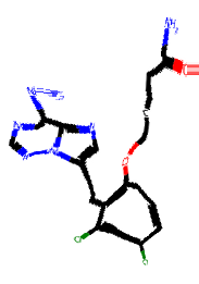 NC(=O)CCCCOc1ccc(Cl)c(Cl)c1Cc1cnc2c(N)ncnn12